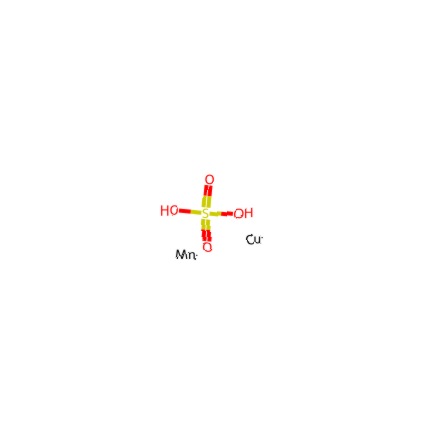 O=S(=O)(O)O.[Cu].[Mn]